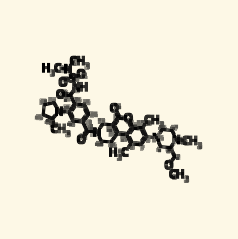 COC[C@H]1CN(c2cc(C)c3c4c(c(=O)oc3c2C)CN(C(=O)c2ccc(C(=O)NS(=O)(=O)N(C)C)c(N3CCC[C@@H]3C)c2)CC4)CCN1C